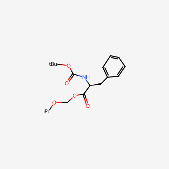 CC(C)OCOC(=O)[C@H](Cc1ccccc1)NC(=O)OC(C)(C)C